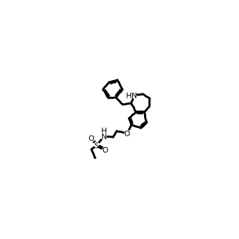 CCS(=O)(=O)NCCOc1ccc2c(c1)C(Cc1ccccc1)NCCC2